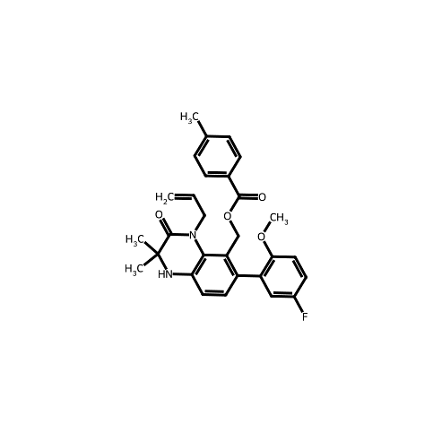 C=CCN1C(=O)C(C)(C)Nc2ccc(-c3cc(F)ccc3OC)c(COC(=O)c3ccc(C)cc3)c21